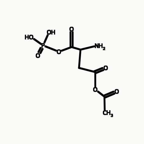 CC(=O)OC(=O)CC(N)C(=O)OP(=O)(O)O